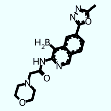 Bc1c(NC(=O)CN2CCOCC2)ncc2ccc(-c3nnc(C)o3)cc12